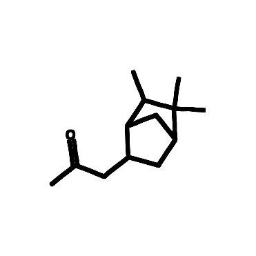 CC(=O)CC1CC2CC1C(C)C2(C)C